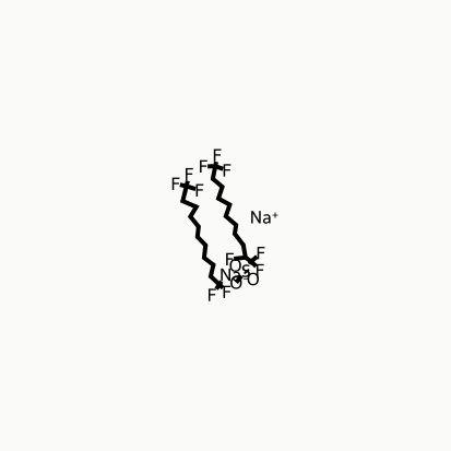 FC(F)(F)CCCCCCCCC[C](F)(F)[Na].O=S(=O)([O-])C(F)(F)C(F)CCCCCCCCC(F)(F)F.[Na+]